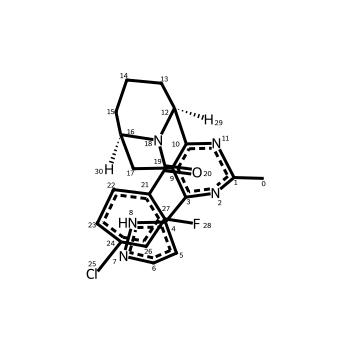 Cc1nc(-c2ccn[nH]2)c2c(n1)[C@@H]1CCC[C@H](C2)N1C(=O)c1ccc(Cl)cc1F